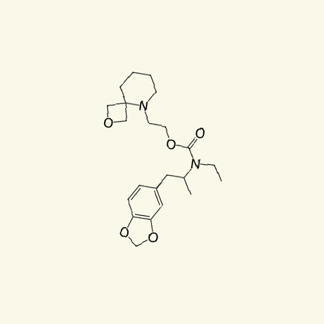 CCN(C(=O)OCCN1CCCCC12COC2)C(C)Cc1ccc2c(c1)OCO2